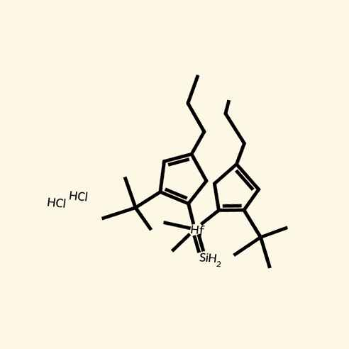 CCCC1=CC(C(C)(C)C)=[C]([Hf]([CH3])([CH3])(=[SiH2])[C]2=C(C(C)(C)C)C=C(CCC)C2)C1.Cl.Cl